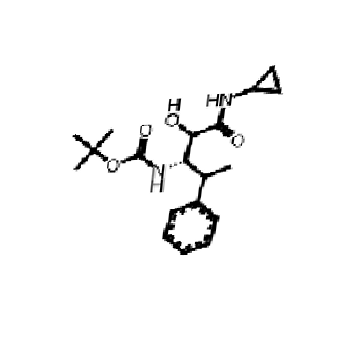 CC(c1ccccc1)[C@H](NC(=O)OC(C)(C)C)C(O)C(=O)NC1CC1